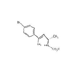 CC(=C[C@H](C)NC(=O)O)c1ccc(Br)cc1